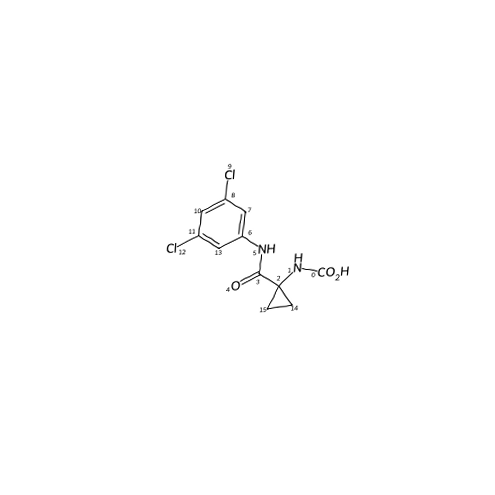 O=C(O)NC1(C(=O)Nc2cc(Cl)cc(Cl)c2)CC1